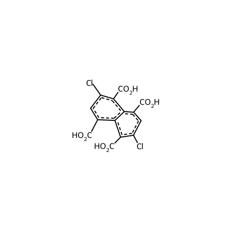 O=C(O)c1cc(Cl)c(C(=O)O)c2c(C(=O)O)cc(Cl)c(C(=O)O)c12